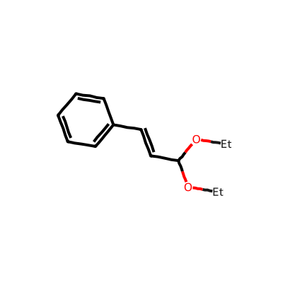 CCOC(C=Cc1ccccc1)OCC